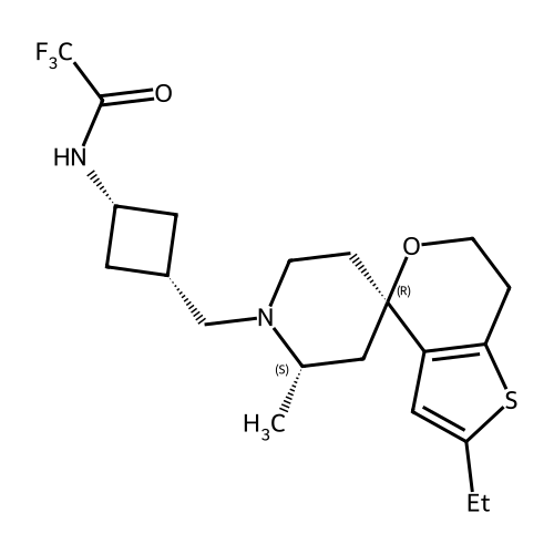 CCc1cc2c(s1)CCO[C@@]21CCN(C[C@H]2C[C@@H](NC(=O)C(F)(F)F)C2)[C@@H](C)C1